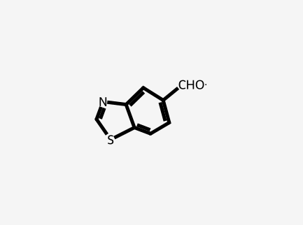 O=[C]c1ccc2scnc2c1